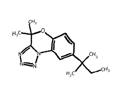 CCC(C)(C)c1ccc2c(c1)-n1nnnc1C(C)(C)O2